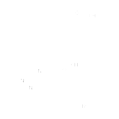 COc1ccc(-c2ccc3nnc(-c4ccc(Br)cc4OC)n3c2)cc1